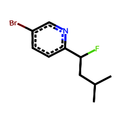 CC(C)CC(F)c1ccc(Br)cn1